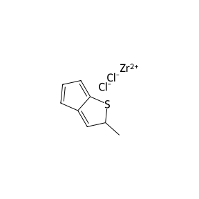 CC1C=C2C=CC=C2S1.[Cl-].[Cl-].[Zr+2]